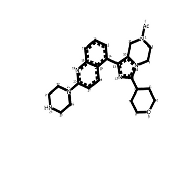 CC(=O)N1CCn2c(C3CCOCC3)nc(-c3cccc4nc(N5CCNCC5)ccc34)c2C1